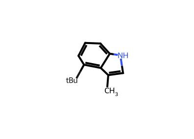 Cc1c[nH]c2cccc(C(C)(C)C)c12